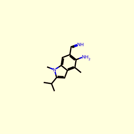 Cc1c(N)c(C=N)cc2c1cc(C(C)C)n2C